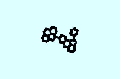 C1=CC2=C(c3ccc4c(c3)Oc3cccc5nc(-c6ccccc6)n-4c35)C=C3CC=CC4=C3C2C(=C1)C=C4